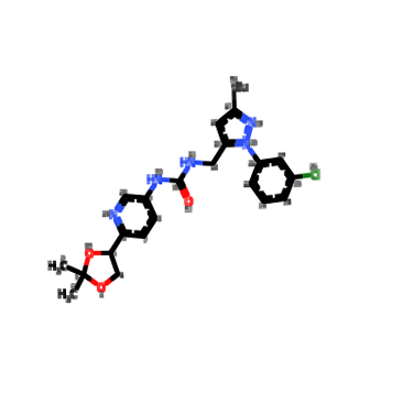 CC1(C)OCC(c2ccc(NC(=O)NCc3cc(C(C)(C)C)nn3-c3cccc(Cl)c3)cn2)O1